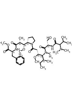 CC[C@H](C)[C@@H]([C@@H](CC(=O)N1CCC[C@H]1[C@H](OC)[C@@H](C)C(=O)N[C@@H](Cc1ccccc1)C(=O)OC)OC)N(C)C(=O)[C@H](CO)NC(=O)C(C(C)C)N(C)C